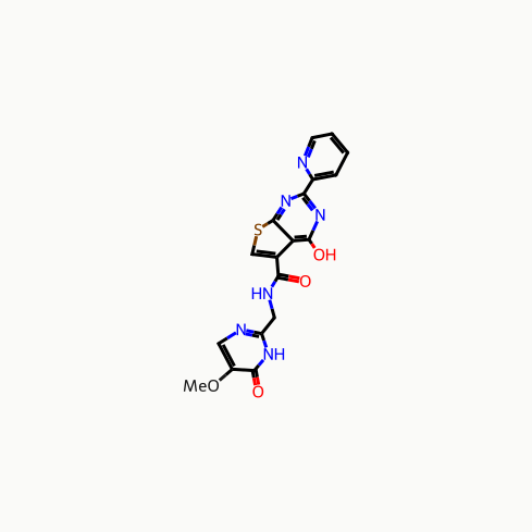 COc1cnc(CNC(=O)c2csc3nc(-c4ccccn4)nc(O)c23)[nH]c1=O